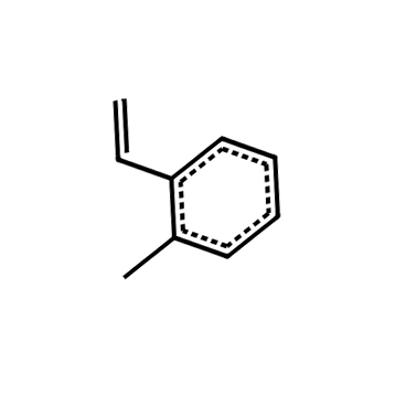 [CH]=Cc1ccccc1C